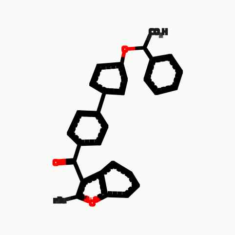 CCCCc1oc2ccccc2c1C(=O)c1ccc(-c2ccc(OC(C(=O)O)c3ccccc3)cc2)cc1